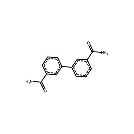 NC(=O)c1cccc(-c2cccc(C(N)=O)c2)c1